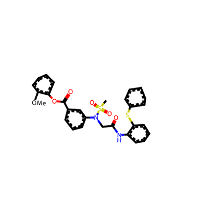 COc1ccccc1OC(=O)c1cccc(N(CC(=O)Nc2ccccc2Sc2ccccc2)S(C)(=O)=O)c1